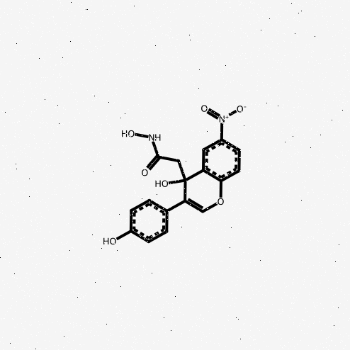 O=C(CC1(O)C(c2ccc(O)cc2)=COc2ccc([N+](=O)[O-])cc21)NO